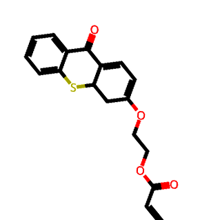 C=CC(=O)OCCOC1=CC=C2C(=O)c3ccccc3SC2C1